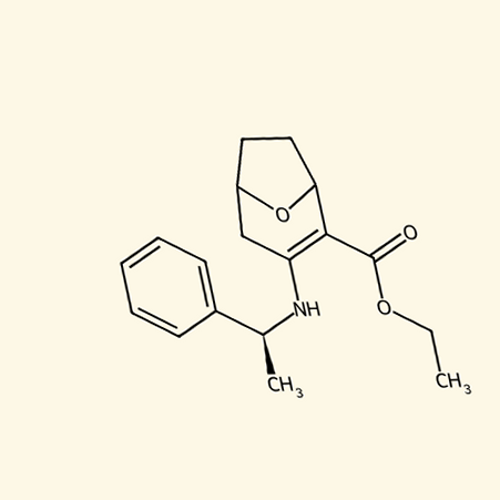 CCOC(=O)C1=C(N[C@@H](C)c2ccccc2)CC2CCC1O2